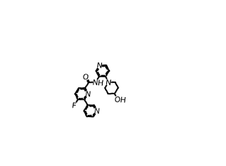 O=C(Nc1cnccc1N1CCC(O)CC1)c1ccc(F)c(-c2cccnc2)n1